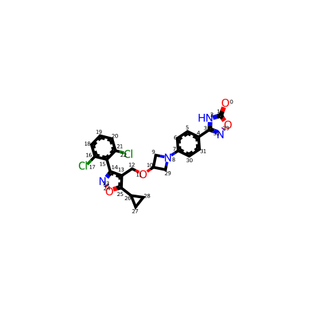 O=c1[nH]c(-c2ccc(N3CC(OCc4c(-c5c(Cl)cccc5Cl)noc4C4CC4)C3)cc2)no1